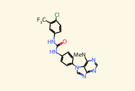 CNc1ncnc2ncn(-c3ccc(NC(=O)Nc4ccc(Cl)c(C(F)(F)F)c4)cc3)c12